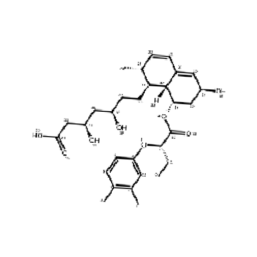 CC[C@H](Oc1ccc(C)c(C)c1)C(=O)O[C@H]1C[C@H](O)C=C2C=C[C@@H](C)[C@H](CC[C@@H](O)C[C@@H](O)CC(=O)O)[C@H]21